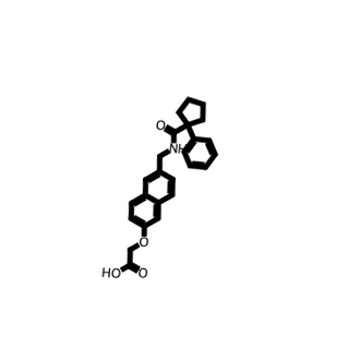 O=C(O)COc1ccc2cc(CNC(=O)C3(c4ccccc4)CCCC3)ccc2c1